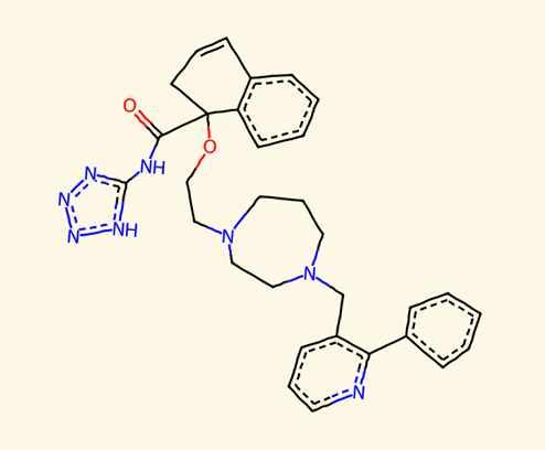 O=C(Nc1nnn[nH]1)C1(OCCN2CCCN(Cc3cccnc3-c3ccccc3)CC2)CC=Cc2ccccc21